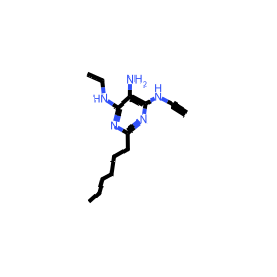 C#CNc1nc(CCCCCC)nc(NCC)c1N